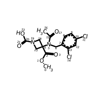 COC(=O)C1(N(Cc2ccc(Cl)cc2Cl)C(C)=O)CN(C(=O)O)C1